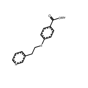 COC(=O)c1ccc(SCCc2cccnc2)cc1